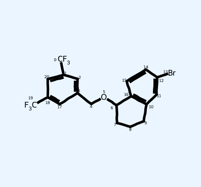 FC(F)(F)c1cc(COC2CCCc3cc(Br)ccc32)cc(C(F)(F)F)c1